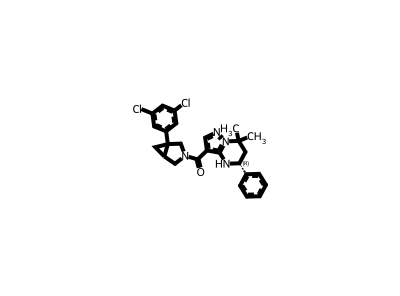 CC1(C)C[C@H](c2ccccc2)Nc2c(C(=O)N3CC4CC4(c4cc(Cl)cc(Cl)c4)C3)cnn21